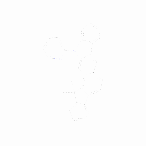 CC1(C)c2ccccc2-c2ccc3cc4c5ccccc5n(-c5ccccn5)c4cc3c21